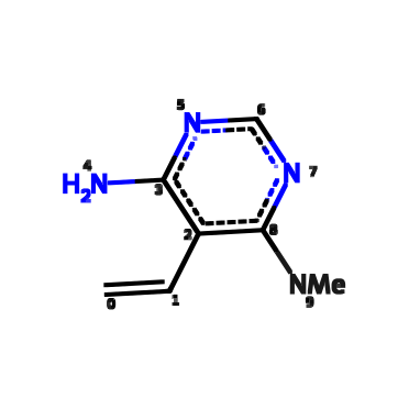 C=Cc1c(N)ncnc1NC